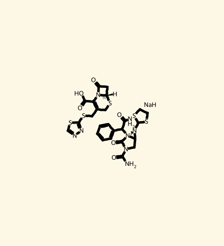 NC(=O)C(c1ccccc1)[N+]12C(=O)N(C(N)=O)CC1N2C1SCCS1.O=C(O)C1=C(CSc2nncs2)CS[C@H]2CC(=O)N12.[NaH]